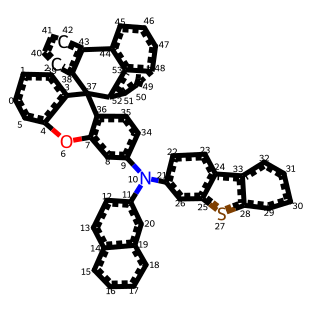 c1ccc2c(c1)Oc1cc(N(c3ccc4ccccc4c3)c3ccc4c(c3)sc3ccccc34)ccc1C21c2ccccc2-c2cccc3cccc1c23